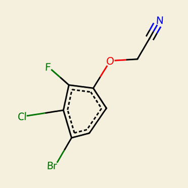 N#CCOc1ccc(Br)c(Cl)c1F